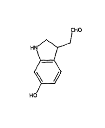 O=CCC1CNc2cc(O)ccc21